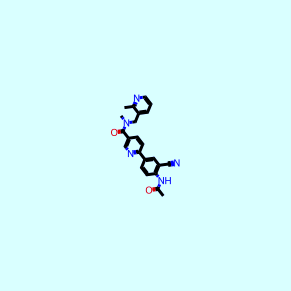 CC(=O)Nc1ccc(-c2ccc(C(=O)N(C)Cc3cccnc3C)cn2)cc1C#N